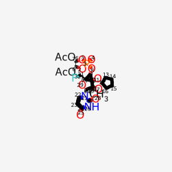 CC(=O)OCOP(=O)(OCOC(C)=O)OC1[C@]23OC4(CCCC4)O[C@@]2(C)[C@H](n2ccc(=O)[nH]c2=O)O[C@]13CF